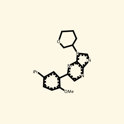 COc1ccc(C(C)C)cc1-c1cnc2ncn(C3CCCOC3)c2n1